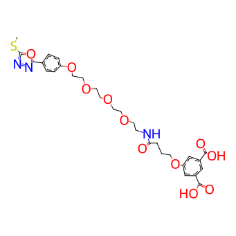 CSc1nnc(-c2ccc(OCCOCCOCCOCCNC(=O)CCCOc3cc(C(=O)O)cc(C(=O)O)c3)cc2)o1